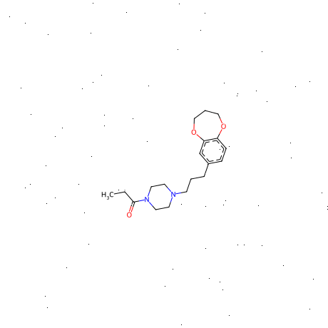 C[CH]C(=O)N1CCN(CCCc2ccc3c(c2)OCCCO3)CC1